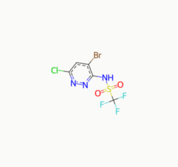 O=S(=O)(Nc1nnc(Cl)cc1Br)C(F)(F)F